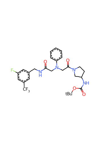 CC(C)(C)OC(=O)NC1CCN(C(=O)CN(CC(=O)NCc2cc(F)cc(C(F)(F)F)c2)c2ccccc2)C1